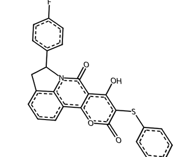 O=c1oc2c(c(O)c1Sc1ccccc1)c(=O)n1c3c(cccc23)CC1c1ccc(F)cc1